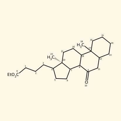 CCOC(=O)CCCC1CCC2C3C(=O)CC4CCCCC4(C)C3CC[C@]12C